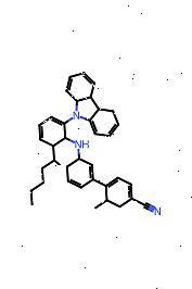 CCCCC(C)C1C=CC=C(N2C3=CC=CCC3C3C=CC=CC32)C1NC1C=C(C2=CC=C(C#N)CC2C)C=CC1